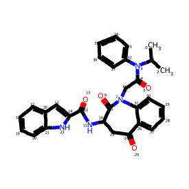 CC(C)N(C(=O)CN1C(=O)C(NC(=O)c2cc3ccccc3[nH]2)CC(=O)c2ccccc21)c1ccccc1